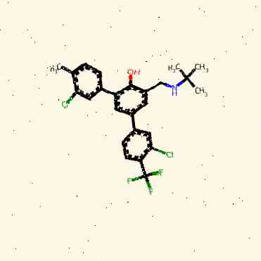 Cc1ccc(-c2cc(-c3ccc(C(F)(F)F)c(Cl)c3)cc(CNC(C)(C)C)c2O)cc1Cl